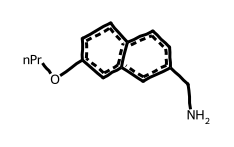 CCCOc1ccc2ccc(CN)cc2c1